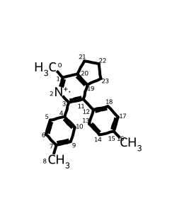 CC1=[N+]C(c2ccc(C)cc2)=C(c2ccc(C)cc2)C2=C1CCC2